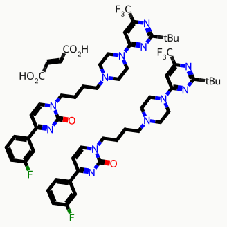 CC(C)(C)c1nc(N2CCN(CCCCn3ccc(-c4cccc(F)c4)nc3=O)CC2)cc(C(F)(F)F)n1.CC(C)(C)c1nc(N2CCN(CCCCn3ccc(-c4cccc(F)c4)nc3=O)CC2)cc(C(F)(F)F)n1.O=C(O)C=CC(=O)O